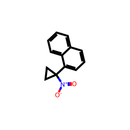 O=[N+]([O-])C1(c2cccc3ccccc23)CC1